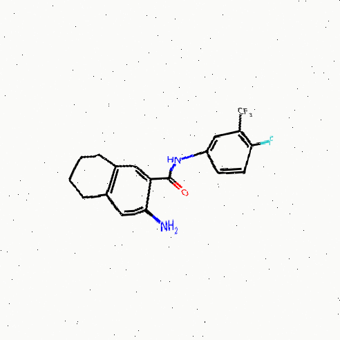 Nc1cc2c(cc1C(=O)Nc1ccc(F)c(C(F)(F)F)c1)CCCC2